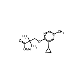 COC(=O)C(C)(C)COc1ncc(C)cc1C1CC1